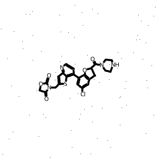 O=C(C1Cc2cc(Cl)cc(-c3ccnc4cc(CN5C(=O)COC5=O)sc34)c2O1)N1CCNCC1